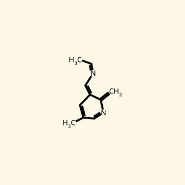 C=c1ncc(C)c/c1=C/N=C\C